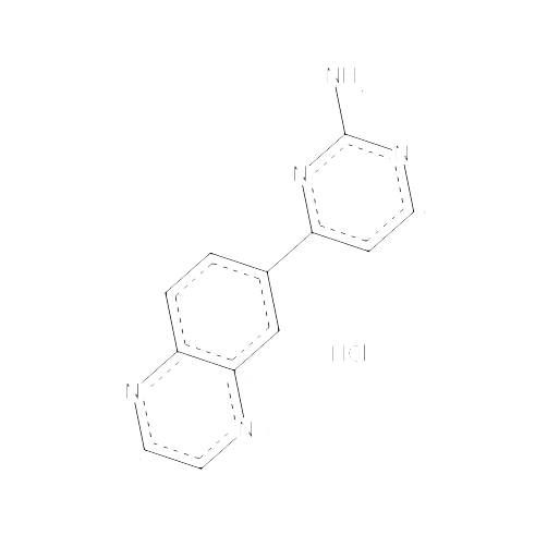 Cl.Nc1nccc(-c2ccc3nccnc3c2)n1